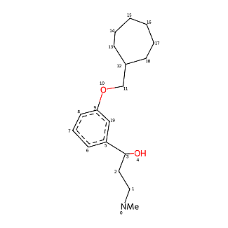 CNCCC(O)c1cccc(OCC2CCCCCC2)c1